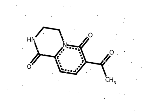 CC(=O)c1ccc2n(c1=O)CCNC2=O